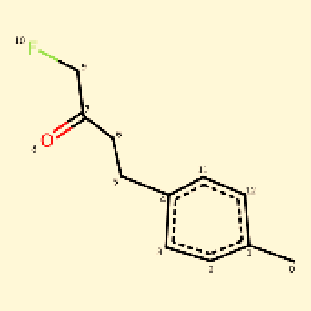 Cc1ccc(CCC(=O)CF)cc1